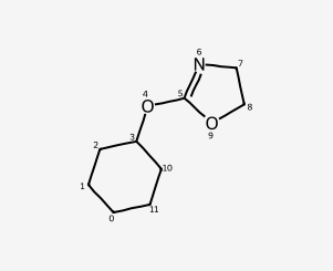 C1CCC(OC2=NCCO2)CC1